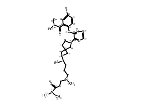 CC(C)[C@H](CCCN(C)CCC(=O)N(C)C)N1CC2(CCN(c3ncnnc3Oc3ccc(F)cc3C(=O)N(C(C)C)C(C)C)C2)C1